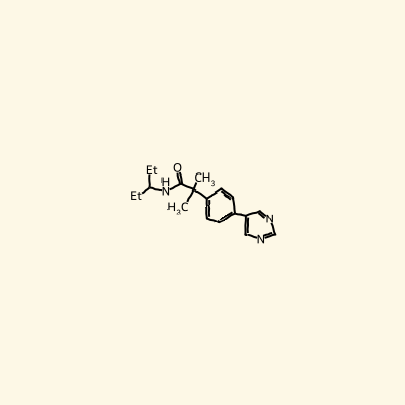 CCC(CC)NC(=O)C(C)(C)c1ccc(-c2cncnc2)cc1